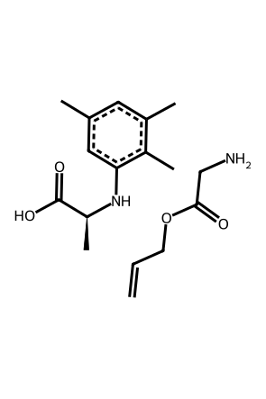 C=CCOC(=O)CN.Cc1cc(C)c(C)c(N[C@@H](C)C(=O)O)c1